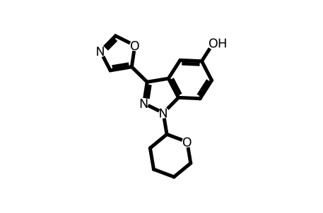 Oc1ccc2c(c1)c(-c1cnco1)nn2C1CCCCO1